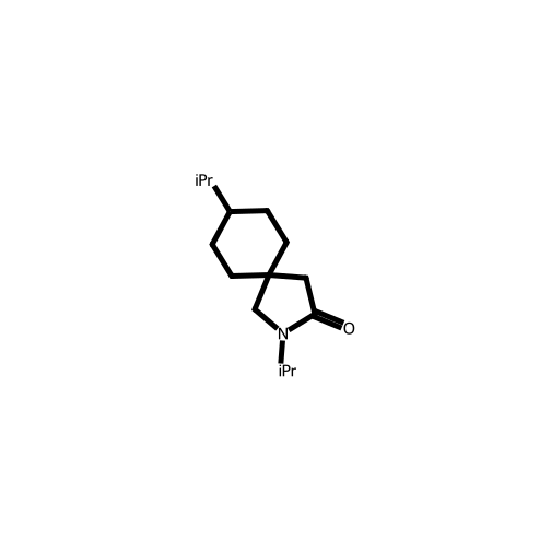 CC(C)C1CCC2(CC1)CC(=O)N(C(C)C)C2